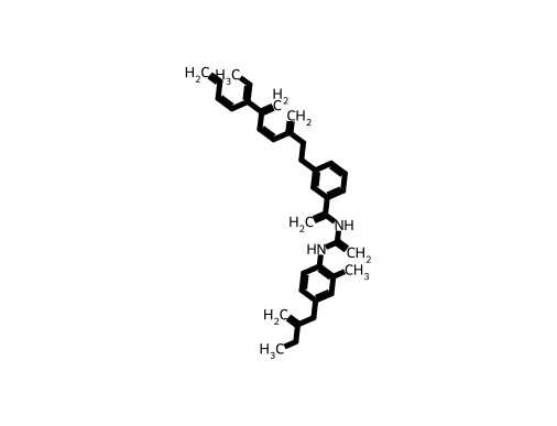 C=C/C=C\C(=C/C)C(=C)/C=C\C(=C)CCc1cccc(C(=C)NC(=C)Nc2ccc(CC(=C)CC)cc2C)c1